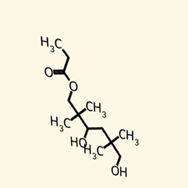 CCC(=O)OCC(C)(C)C(O)CC(C)(C)CO